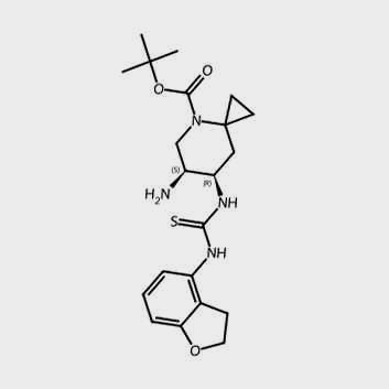 CC(C)(C)OC(=O)N1C[C@H](N)[C@H](NC(=S)Nc2cccc3c2CCO3)CC12CC2